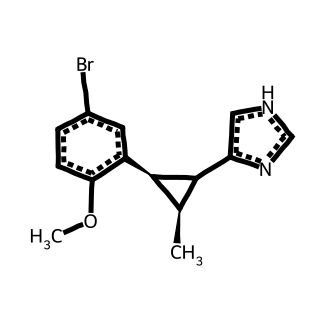 COc1ccc(Br)cc1[C@H]1C(c2c[nH]cn2)[C@H]1C